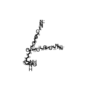 [N-]=[N+]=NCCOCCOCCOCCN(CCOCCOCCOCCN=[N+]=[N-])C(=O)CCCCC1SCC2NC(=O)NC21